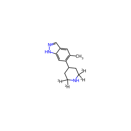 [2H]C1([2H])CC(c2cc3[nH]ncc3cc2C)CC([2H])([2H])N1